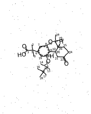 CC(C)(C(=O)O)c1cc2c(c(O[Si](C)(C)C(C)(C)C)c1)[C@@H]1CC(=O)CC[C@H]1C(C)(C)O2